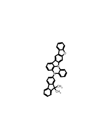 CC1(C)c2ccccc2-c2ccc(N3c4ccccc4-n4c5cc6oc7ccccc7c6cc5c5cccc3c54)cc21